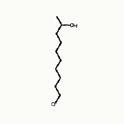 CC(O)CCCCCCCCCl